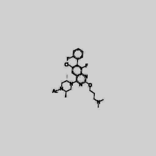 CC(=O)N1C[C@H](C)N(c2nc(OCCCN(C)C)nc3c(F)c(-c4ccccc4F)c(Cl)cc23)C[C@H]1C